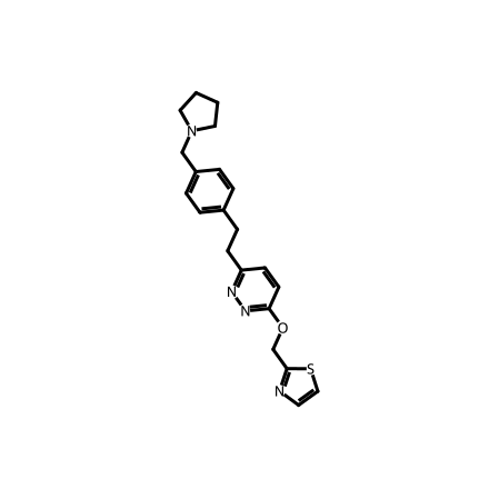 c1csc(COc2ccc(CCc3ccc(CN4CCCC4)cc3)nn2)n1